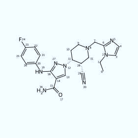 CCn1ccnc1CN1CC[C@@H](n2cc(C(N)=O)c(Nc3ccc(F)cc3)n2)[C@@H](C#N)C1